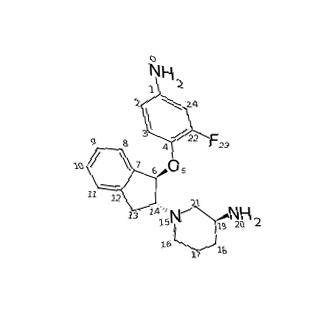 Nc1ccc(O[C@@H]2c3ccccc3C[C@H]2N2CCC[C@H](N)C2)c(F)c1